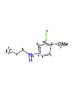 COc1ccc(NCCC(F)(F)F)cc1F